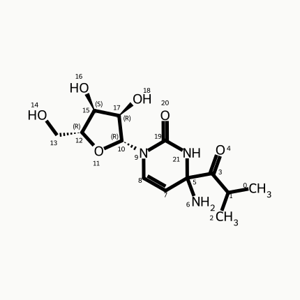 CC(C)C(=O)C1(N)C=CN([C@@H]2O[C@H](CO)[C@@H](O)[C@H]2O)C(=O)N1